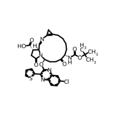 CC(C)(C)OC(=O)N[C@H]1CCCCC2=C(C2)/N=C\[C@@H]2[C@@H](C(=O)O)CC(=O)N2[C@H](Oc2nc3cc(Cl)ccc3nc2-c2cccs2)CCC1=O